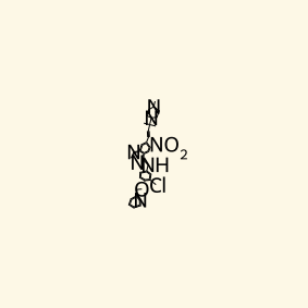 CN1CCN(C(C)(C)C#Cc2cc3ncnc(Nc4ccc(OCc5ccccn5)c(Cl)c4)c3cc2[N+](=O)[O-])CC1